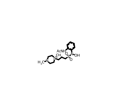 CC(=O)Nc1ccccc1N(O)S(=O)(=O)CCC[N+]1(C)CCN(C)CC1